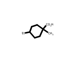 [CH2]CC1CCC(C)(C(=O)O)CC1